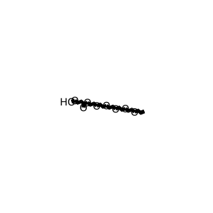 C=CCOCCOCCOCCOCCOCCOC(=O)CCOO